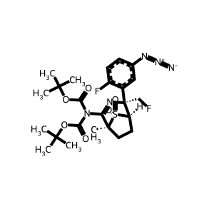 CC(C)(C)OC(=O)N(C(=O)OC(C)(C)C)C1=N[C@@](CF)(c2cc(N=[N+]=[N-])ccc2F)[C@H]2CC[C@]1(C)S2(=O)=O